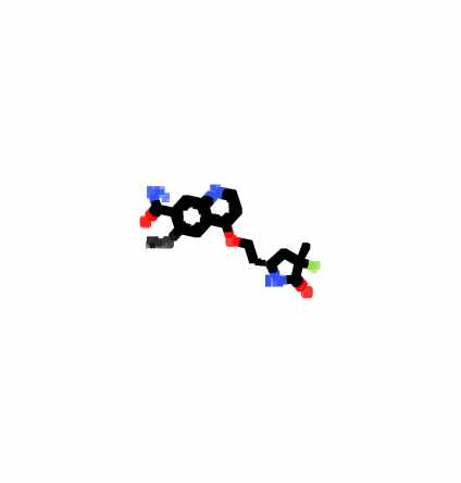 COc1cc2c(OCC[C@@H]3C[C@](C)(F)C(=O)N3)ccnc2cc1C(N)=O